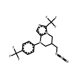 [N-]=[N+]=NCC1CN(c2ccc(C(F)(F)F)cc2)c2cnc(C(F)(F)F)n2C1